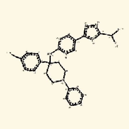 Fc1ccc(C2(Nc3ncc(-c4nnc(C(F)F)o4)cn3)CCN(c3ccccc3)CC2)cc1